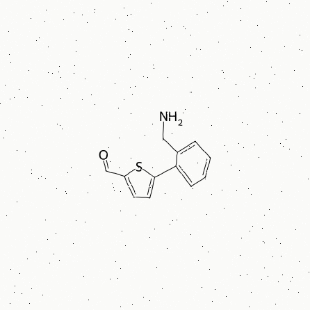 NCc1ccccc1-c1ccc(C=O)s1